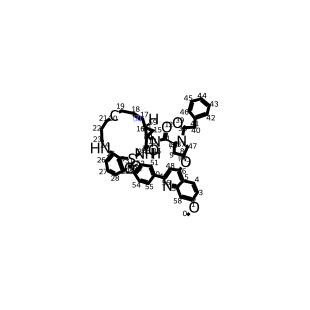 COc1ccc2c(O[C@@H]3C[C@@H](C(=O)N[C@]45C[C@H]4/C=C\CCCCCNc4ccccc4S(=O)(=O)NC5=O)N(C(=O)Cc4ccccc4)C3)cc(-c3ccccc3)nc2c1